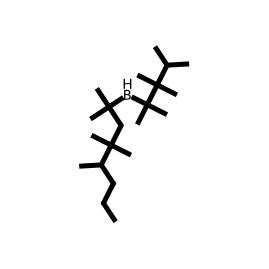 CCCC(C)C(C)(C)CC(C)(C)BC(C)(C)C(C)(C)C(C)C